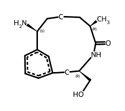 C[C@@H]1CCC[C@H](N)c2cccc(c2)C[C@H](CO)NC1=O